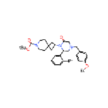 CCOc1ccc(CN2CC(=O)N(C3CC4(CCN(C(=O)OC(C)(C)C)CC4)C3)C(c3ccccc3C(C)C)C2)cc1